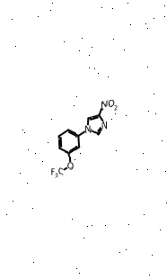 O=[N+]([O-])c1cn(-c2cccc(OC(F)(F)F)c2)cn1